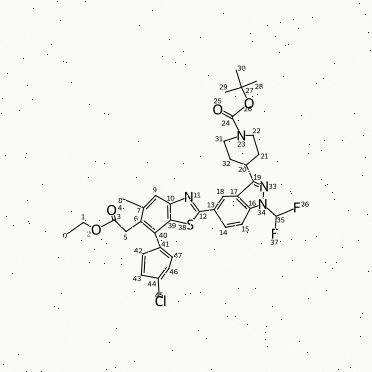 CCOC(=O)Cc1c(C)cc2nc(-c3ccc4c(c3)c(C3CCN(C(=O)OC(C)(C)C)CC3)nn4C(F)F)sc2c1-c1ccc(Cl)cc1